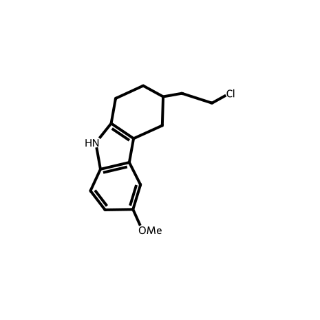 COc1ccc2[nH]c3c(c2c1)CC(CCCl)CC3